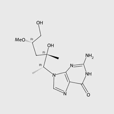 CO[C@H](CO)C[C@](C)(O)[C@@H](C)n1cnc2c(=O)[nH]c(N)nc21